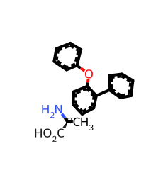 C[C@H](N)C(=O)O.c1ccc(Oc2ccccc2-c2ccccc2)cc1